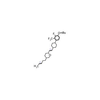 C/C=C/CCC1CCC(/C=C/C2CCC(c3ccc(OCCCC)c(F)c3C(F)(F)F)CC2)OC1